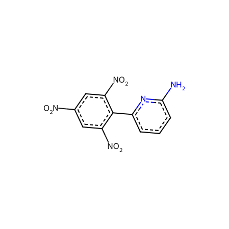 Nc1cccc(-c2c([N+](=O)[O-])cc([N+](=O)[O-])cc2[N+](=O)[O-])n1